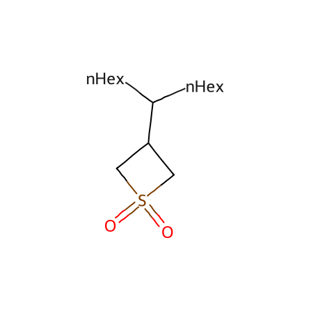 CCCCCCC(CCCCCC)C1CS(=O)(=O)C1